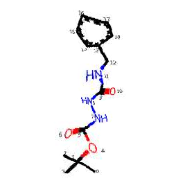 CC(C)(C)OC(=O)NNC(=O)NCc1ccccc1